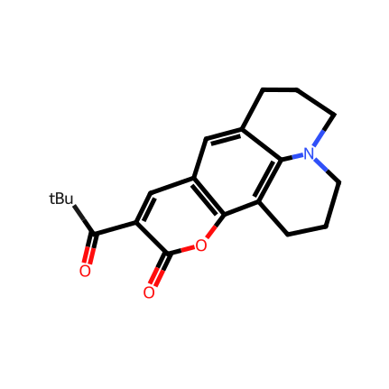 CC(C)(C)C(=O)c1cc2cc3c4c(c2oc1=O)CCCN4CCC3